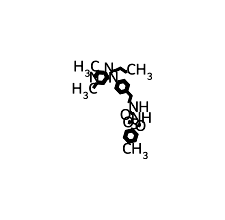 CCCc1nc2c(C)nc(C)cc2n1-c1ccc(CCNC(=O)NS(=O)(=O)c2ccc(C)cc2)cc1